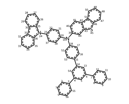 c1ccc(-c2cc(-c3ccccc3)cc(-c3ccc(N(c4ccc(-n5c6ccccc6c6ccccc65)cc4)c4ccc5c(c4)sc4ccccc45)cc3)c2)cc1